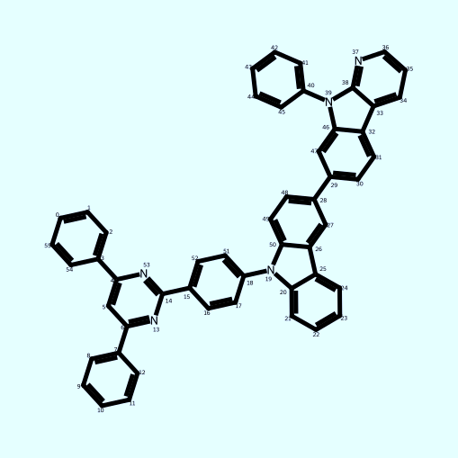 c1ccc(-c2cc(-c3ccccc3)nc(-c3ccc(-n4c5ccccc5c5cc(-c6ccc7c8cccnc8n(-c8ccccc8)c7c6)ccc54)cc3)n2)cc1